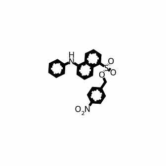 O=[N+]([O-])c1ccc(COS(=O)(=O)c2cccc3c(Nc4ccccc4)cccc23)cc1